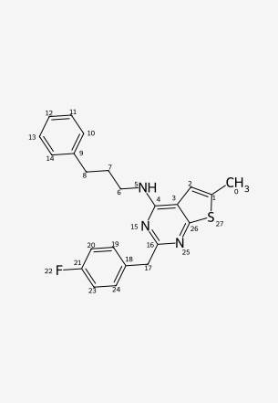 Cc1cc2c(NCCCc3ccccc3)nc(Cc3ccc(F)cc3)nc2s1